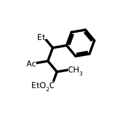 CCOC(=O)C(C)C(C(C)=O)C(CC)c1ccccc1